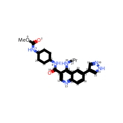 COC(=O)NC1CCC(NC(=O)c2cnc3ccc(-c4cn[nH]c4)cc3c2NC(C)C)CC1